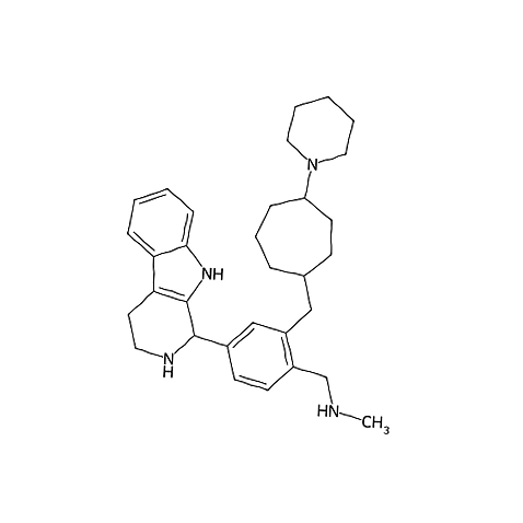 CNCc1ccc(C2NCCc3c2[nH]c2ccccc32)cc1CC1CCCC(N2CCCCC2)CC1